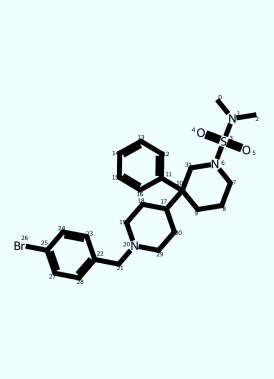 CN(C)S(=O)(=O)N1CCCC(c2ccccc2)(C2CCN(Cc3ccc(Br)cc3)CC2)C1